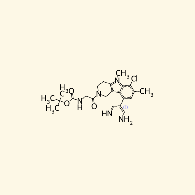 Cc1cc(/C(C=N)=C/N)c2c3c(n(C)c2c1Cl)CCN(C(=O)CNC(=O)OC(C)(C)C)C3